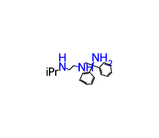 CC(C)NCCNCC(N)(c1ccccc1)c1ccccc1